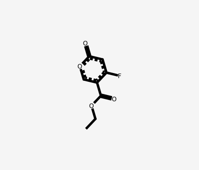 CCOC(=O)c1coc(=O)cc1F